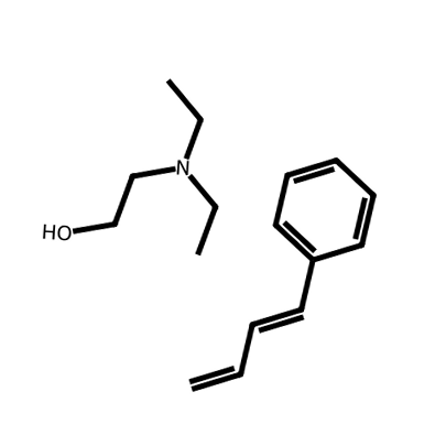 C=CC=Cc1ccccc1.CCN(CC)CCO